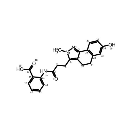 Cn1nc2c(c1CCC(=O)Nc1ccccc1C(=O)O)CCc1cc(O)ccc1-2